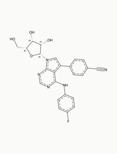 N#Cc1ccc(-c2cn([C@@H]3O[C@H](CO)[C@H](O)[C@@H]3O)c3ncnc(Nc4ccc(F)cc4)c23)cc1